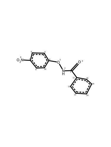 O=C(NOc1ccc([N+](=O)[O-])cc1)c1ccccc1